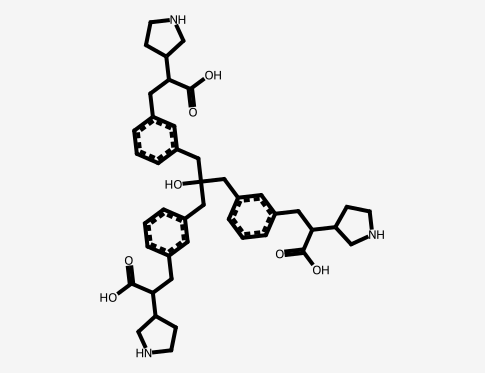 O=C(O)C(Cc1cccc(CC(O)(Cc2cccc(CC(C(=O)O)C3CCNC3)c2)Cc2cccc(CC(C(=O)O)C3CCNC3)c2)c1)C1CCNC1